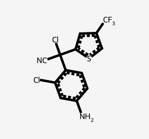 N#CC(Cl)(c1cc(C(F)(F)F)cs1)c1ccc(N)cc1Cl